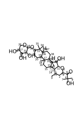 C[C@@H]1C[C@H](C(=O)C(C)(C)O)OC2C1[C@@]1(C)CC[C@@]34C[C@@]35CC[C@H](O[C@@H]3OC[C@@H](O)[C@H](O)[C@H]3O)C(C)(C)[C@@H]5CC[C@H]4[C@]1(C)[C@H]2O